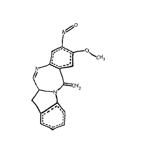 C=C1c2cc(OC)c(N=O)cc2N=CC2Cc3ccccc3N12